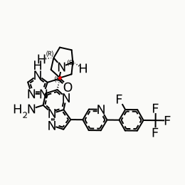 Nc1cc([C@@H]2C[C@H]3CC[C@@H](C2)N3C(=O)c2nnc[nH]2)nc2c(-c3ccc(-c4ccc(C(F)(F)F)cc4F)nc3)cnn12